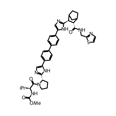 COC(=O)N[C@H](C(=O)N1CCC[C@H]1c1ncc(-c2ccc(-c3ccc(-c4cnc([C@H]5C6CCC(C6)[C@@H]5C(=O)NCc5nccs5)[nH]4)cc3)cc2)[nH]1)C(C)C